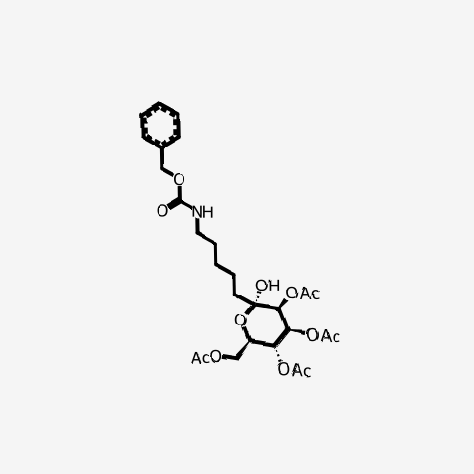 CC(=O)OC[C@H]1O[C@@](O)(CCCCCNC(=O)OCc2ccccc2)[C@@H](OC(C)=O)[C@@H](OC(C)=O)[C@@H]1OC(C)=O